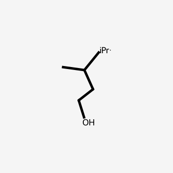 C[C](C)C(C)CCO